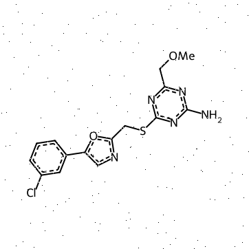 COCc1nc(N)nc(SCc2ncc(-c3cccc(Cl)c3)o2)n1